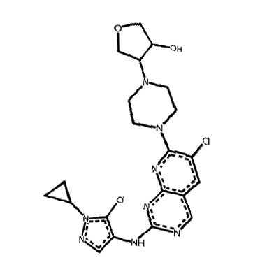 OC1COCC1N1CCN(c2nc3nc(Nc4cnn(C5CC5)c4Cl)ncc3cc2Cl)CC1